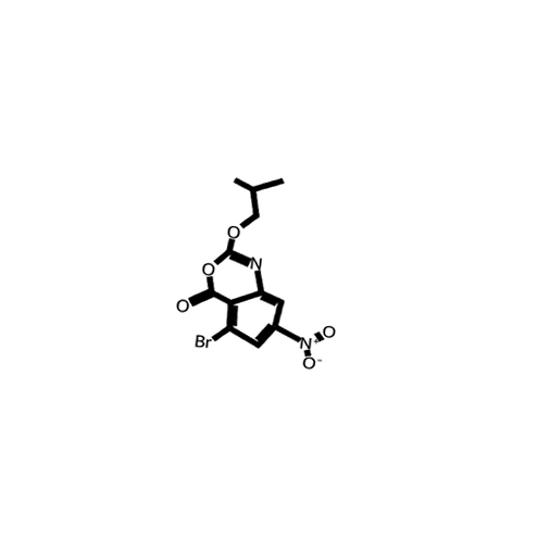 CC(C)COc1nc2cc([N+](=O)[O-])cc(Br)c2c(=O)o1